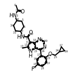 CC(=O)NC1CCC(NC(=O)c2c(C)[nH]c3c(-c4cc(F)ccc4OCC4CC4)ncnc23)CC1